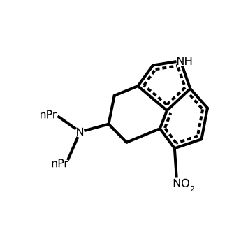 CCCN(CCC)C1Cc2c[nH]c3ccc([N+](=O)[O-])c(c23)C1